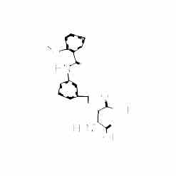 COc1ccccc1C(=O)Nc1cccc(CO[C@H](C(=O)O)[C@H](N)C(=O)O)c1